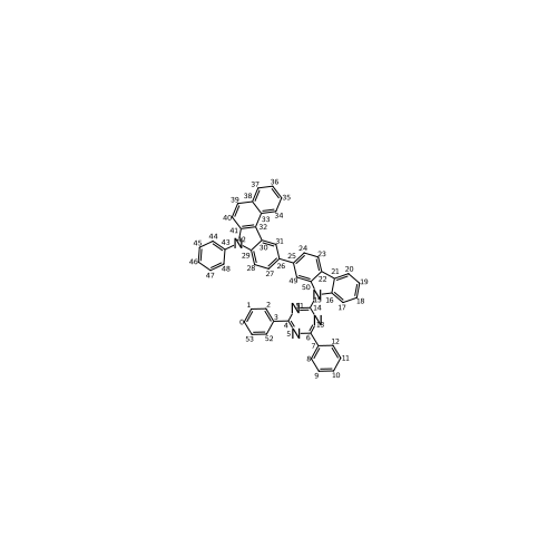 c1ccc(-c2nc(-c3ccccc3)nc(-n3c4ccccc4c4ccc(-c5ccc6c(c5)c5c7ccccc7ccc5n6-c5ccccc5)cc43)n2)cc1